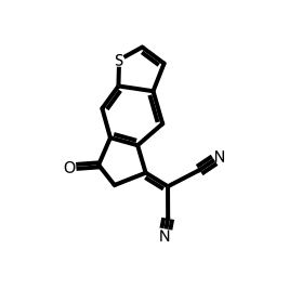 N#CC(C#N)=C1CC(=O)c2cc3sccc3cc21